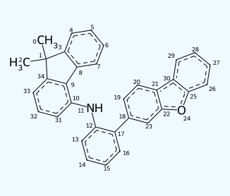 CC1(C)c2ccccc2-c2c(Nc3ccccc3-c3ccc4c(c3)oc3ccccc34)cccc21